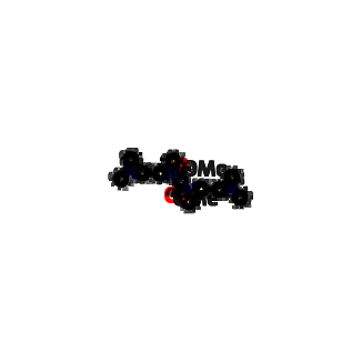 COC(=O)c1cc(-n2c3ccccc3c3cc(-c4ccc5c(c4)c4ccccc4n5-c4ccccc4)ccc32)c(C(=O)OC)cc1-n1c2ccccc2c2cc(-c3ccc4c(c3)c3ccccc3n4-c3ccccc3)ccc21